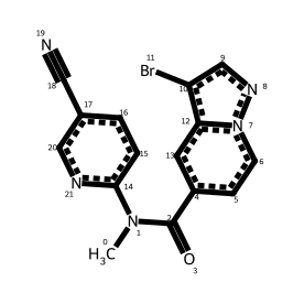 CN(C(=O)c1ccn2ncc(Br)c2c1)c1ccc(C#N)cn1